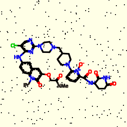 CNC(=O)COc1cc2cc(Nc3nc(N4CCN(CC5CCN(c6cccc(C(=O)NC7CCC(=O)NC7=O)[n+]6[O-])CC5)CC4)ncc3Cl)ccc2n(C(C)C)c1=O